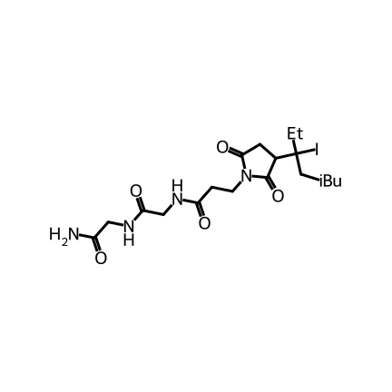 CCC(C)CC(I)(CC)C1CC(=O)N(CCC(=O)NCC(=O)NCC(N)=O)C1=O